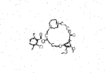 COc1cc2cc(c1OC)OCCCC(OC(=O)c1c(F)ccc(C)c1Cl)CCN1CCCN(CCCOC2=O)CC1